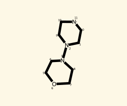 C1CN(N2CCOCC2)CC[N]1